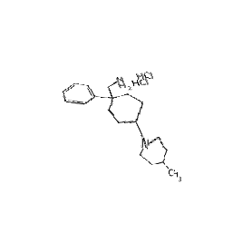 CC1CCN(C2CCC(CN)(c3ccccc3)CC2)CC1.Cl.Cl